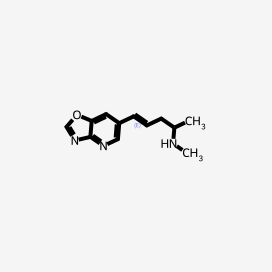 CNC(C)C/C=C/c1cnc2ncoc2c1